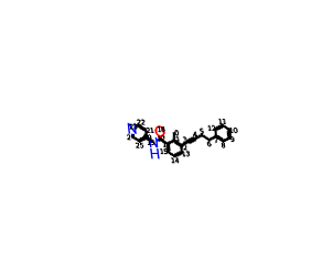 Cc1c(C#CCCc2ccccc2)cccc1C(=O)Nc1ccncc1